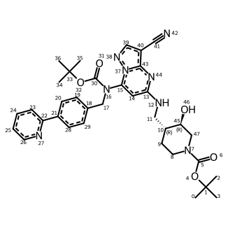 CC(C)(C)OC(=O)N1CC[C@H](CNc2cc(N(Cc3ccc(-c4ccccn4)cc3)C(=O)OC(C)(C)C)n3ncc(C#N)c3n2)[C@@H](O)C1